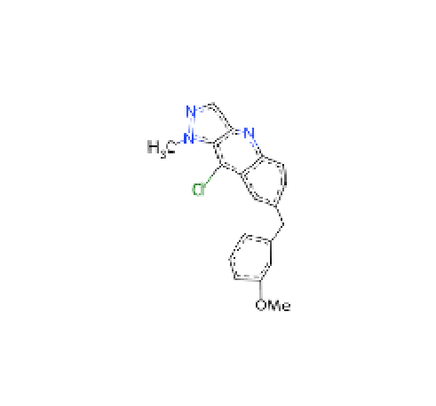 COc1cccc(Cc2ccc3nc4cnn(C)c4c(Cl)c3c2)c1